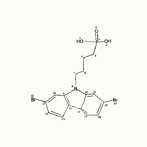 O=P(O)(O)CCCCn1c2cc(Br)ccc2c2ccc(Br)cc21